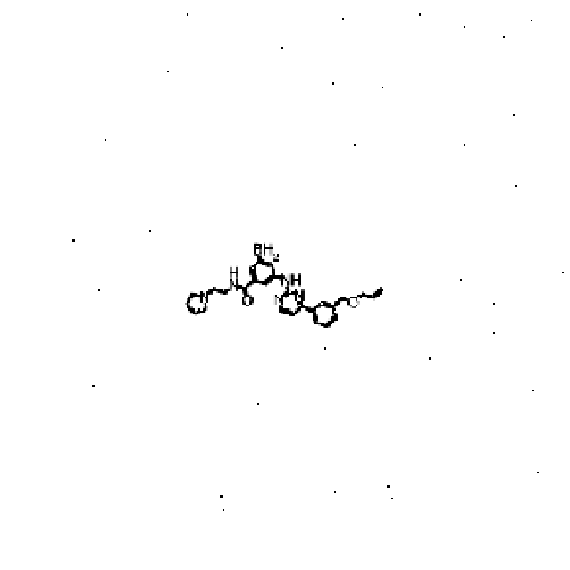 Bc1cc(Nc2nccc(-c3cccc(COCC=C)c3)n2)cc(C(=O)NCCN2CCCC2)c1